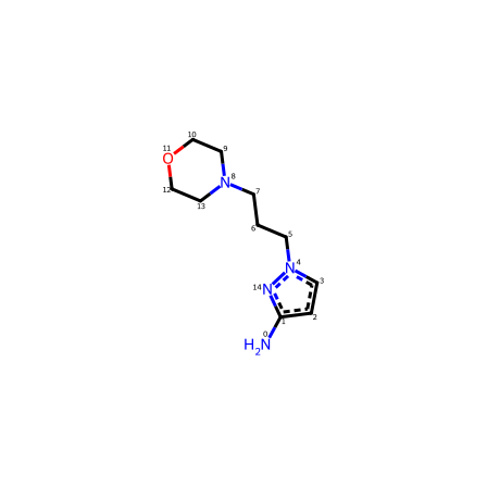 Nc1ccn(CCCN2CCOCC2)n1